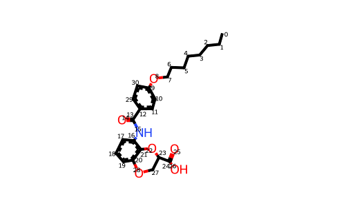 CCCCCCCCOc1ccc(C(=O)Nc2cccc3c2OC(C(=O)O)CO3)cc1